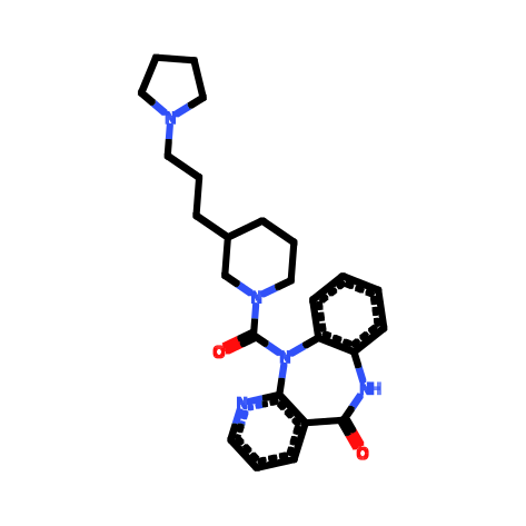 O=C1Nc2ccccc2N(C(=O)N2CCCC(CCCN3CCCC3)C2)c2ncccc21